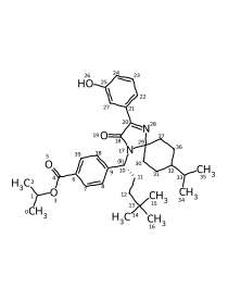 CC(C)OC(=O)c1ccc([C@@H](CCC(C)(C)C)N2C(=O)C(c3cccc(O)c3)=NC23CCC(C(C)C)CC3)cc1